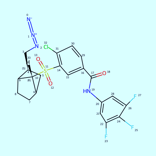 [N-]=[N+]=NC[C@H]1CC2CCC1[C@@H]2S(=O)(=O)c1cc(C(=O)Nc2cc(F)c(F)c(F)c2)ccc1Cl